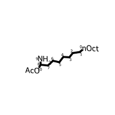 CCCCCCCCCCCCCCCC(N)OC(C)=O